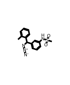 Cc1ccccc1C(N=[N+]=[N-])c1cccc(NS(C)(=O)=O)c1